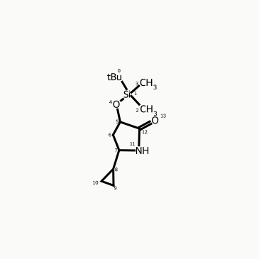 CC(C)(C)[Si](C)(C)OC1CC(C2CC2)NC1=O